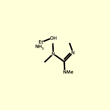 CCO.CN=C(NC)N(C)C.N